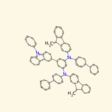 C=C1c2ccccc2-c2ccc(N(c3ccc(-c4ccccc4)cc3)c3cc(-c4ccc5c(c4)c4ccccc4n5-c4ccccc4)cc(N(c4ccc(-c5ccccc5)cc4)c4ccc5c(c4)C(=C)c4ccccc4-5)c3)cc21